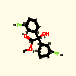 COC(=O)C(O)(c1cccc(F)c1)c1cccc(F)c1